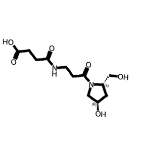 O=C(O)CCC(=O)NCCC(=O)N1C[C@H](O)C[C@H]1CO